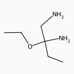 CCOC(N)(CC)CN